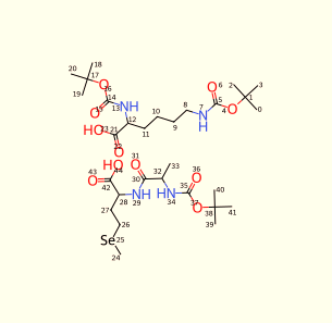 CC(C)(C)OC(=O)NCCCCC(NC(=O)OC(C)(C)C)C(=O)O.C[Se]CCC(NC(=O)C(C)NC(=O)OC(C)(C)C)C(=O)O